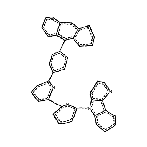 c1cc(-c2ccc(-c3c4ccccc4cc4ccccc34)cc2)nc(-c2cccc(-n3c4ccccc4c4ncccc43)n2)c1